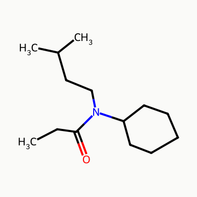 CCC(=O)N(CCC(C)C)C1CCCCC1